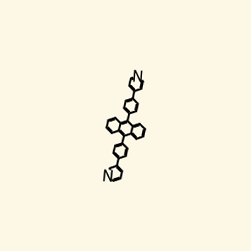 c1cncc(-c2ccc(-c3c4ccccc4c(-c4ccc(-c5ccncc5)cc4)c4ccccc34)cc2)c1